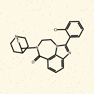 O=C1c2cccc3nc(-c4ccccc4Cl)n(c23)CCN1C1CN2CCC1CC2